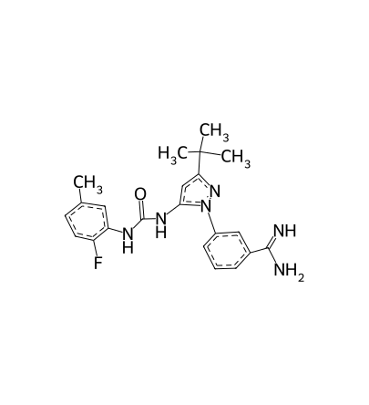 Cc1ccc(F)c(NC(=O)Nc2cc(C(C)(C)C)nn2-c2cccc(C(=N)N)c2)c1